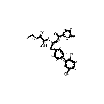 CCOC(=O)[C@H](O)C[C@@H](Cc1ccc(-c2cc(Cl)ccc2F)cc1)NC(=O)c1ncc(C)o1